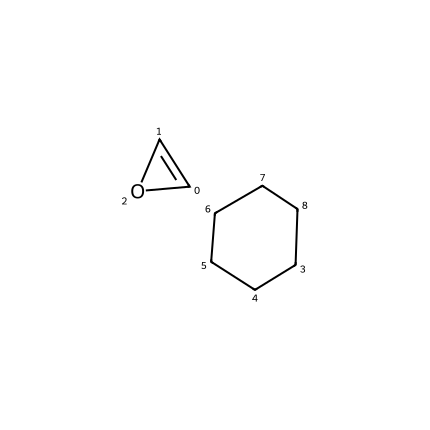 C1=CO1.C1CCCCC1